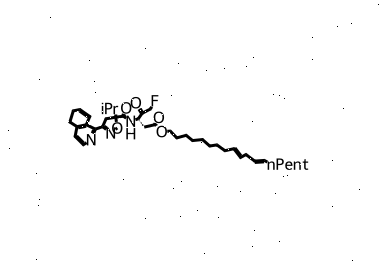 CCCCC/C=C/C/C=C/CCCCCCCCOC(=O)C[C@H](NC(=O)C1(C(C)C)CC(c2nccc3c2C=CCC3)=NO1)C(=O)CF